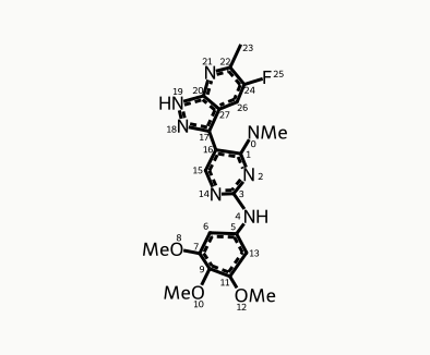 CNc1nc(Nc2cc(OC)c(OC)c(OC)c2)ncc1-c1n[nH]c2nc(C)c(F)cc12